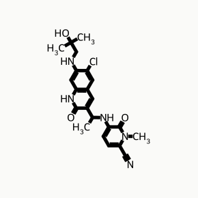 CC(Nc1ccc(C#N)n(C)c1=O)c1cc2cc(Cl)c(NCC(C)(C)O)cc2[nH]c1=O